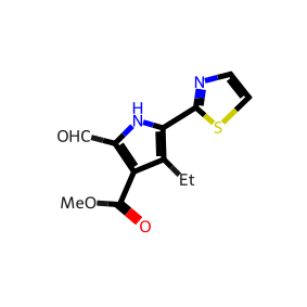 CCc1c(-c2nccs2)[nH]c(C=O)c1C(=O)OC